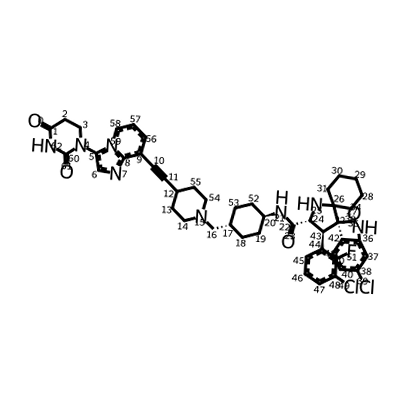 O=C1CCN(c2cnc3c(C#CC4CCN(C[C@H]5CC[C@H](NC(=O)[C@@H]6NC7(CCCCC7)[C@@]7(C(=O)Nc8cc(Cl)ccc87)[C@H]6c6cccc(Cl)c6F)CC5)CC4)cccn23)C(=O)N1